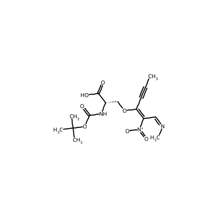 CC#C/C(OC[C@H](NC(=O)OC(C)(C)C)C(=O)O)=C(\C=N/C)[N+](=O)[O-]